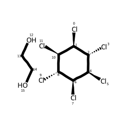 Cl[C@H]1[C@H](Cl)[C@@H](Cl)[C@@H](Cl)[C@H](Cl)[C@H]1Cl.OCCO